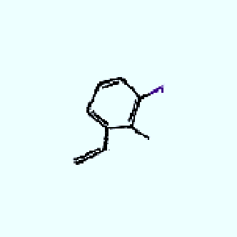 C=[C]c1cccc(I)c1C